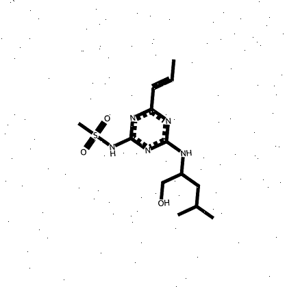 CC=Cc1nc(NC(CO)CC(C)C)nc(NS(C)(=O)=O)n1